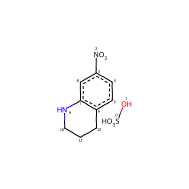 O=S(=O)(O)O.O=[N+]([O-])c1ccc2c(c1)NCCC2